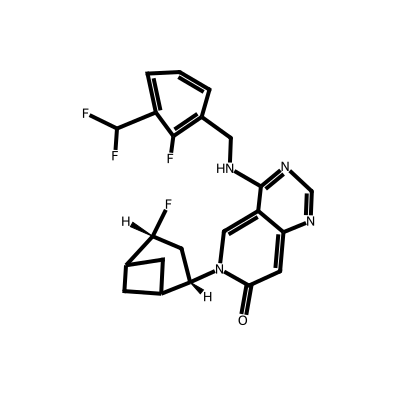 O=c1cc2ncnc(NCc3cccc(C(F)F)c3F)c2cn1[C@H]1C[C@@H](F)C2CC1C2